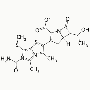 CSc1c2sc(C3=C(C(=O)[O-])N4C(=O)[C@H]([C@@H](C)O)[C@H]4C3)c(C)[n+]2c(C)n1C(N)=O